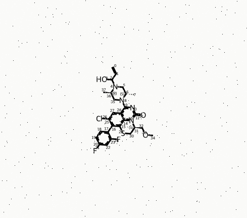 C=CC(O)N1C[C@H](C)N(c2nc(=O)n3c4c(c(-c5ccc(F)cc5F)c(Cl)cc24)SC[C@@H]3COC)C[C@H]1C